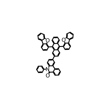 O=c1c2ccccc2c2cc(-c3ccc4c(-c5cccc6c5oc5ccccc56)c5ccccc5c(-c5cccc6c5oc5ccccc56)c4c3)ccc2n1-c1ccccc1